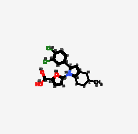 CC1CCc2c(cc(-c3ccc(Cl)c(Cl)c3)n2-c2ccc(C(=O)O)o2)C1